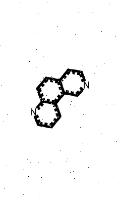 [c]1cc2ncccc2c2cnccc12